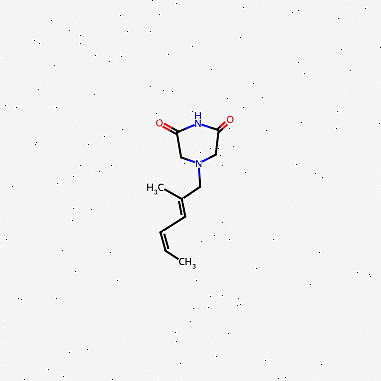 C/C=C\C=C(/C)CN1CC(=O)NC(=O)C1